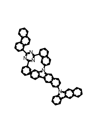 c1ccc(-c2nc(-c3cccc4ccc(-n5c6ccccc6c6cc7cc(-n8c9ccccc9c9cc%10ccccc%10cc98)ccc7cc65)cc34)nc(-c3cccc4c3ccc3ccccc34)n2)cc1